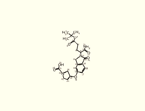 CC(C)(C)OC(=O)CCC(C(N)=O)N1Cc2cc(OC3CCN(C(=O)O)C3)ccc2C1=O